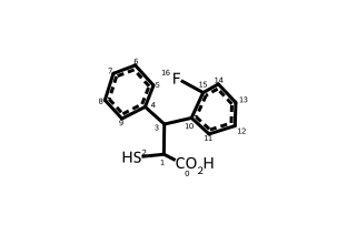 O=C(O)C(S)C(c1ccccc1)c1ccccc1F